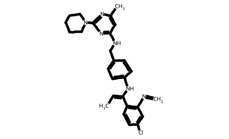 C=Nc1cc(Cl)ccc1/C(=C\C)Nc1ccc(CNc2cc(C)nc(N3CCCCC3)n2)cc1